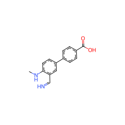 CNc1ccc(-c2ccc(C(=O)O)cc2)cc1C=N